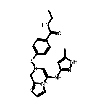 CCNC(=O)c1ccc(SN2C=C(Nc3cc(C)[nH]n3)[N+]3C=CN=C3C2)cc1